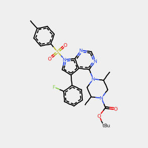 Cc1ccc(S(=O)(=O)n2cc(-c3ccccc3F)c3c(N4CC(C)N(C(=O)OC(C)(C)C)CC4C)ncnc32)cc1